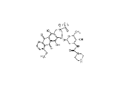 COc1cccc2c1C(=O)c1c(O)c3c(c(O)c1C2=O)C[C@@](O)(C(C)=O)C[C@@H]3OC1CC(NC(=O)N2CCNCC2)C(O)C(C)O1